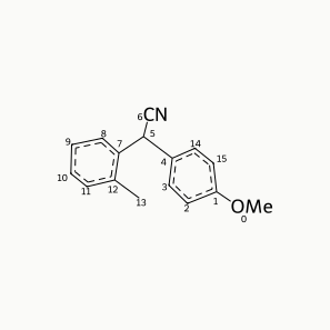 COc1ccc(C(C#N)c2ccccc2C)cc1